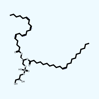 CCCCC/C=C\C/C=C\C/C=C\C/C=C\CCCC(=O)OC[C@H](COP(=O)(O)OC[C@@H](O)CO)OC(=O)CCCCCCCCC/C=C\CCCCCCCCCC